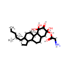 CCC[C@@H](C)[C@H]1CCC2C3CCC4CC(O)(OC(=O)CN)C(=O)C(O)(O)[C@]4(C)C3CC[C@@]21C